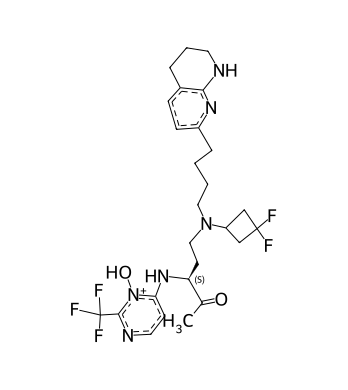 CC(=O)[C@H](CCN(CCCCc1ccc2c(n1)NCCC2)C1CC(F)(F)C1)Nc1ccnc(C(F)(F)F)[n+]1O